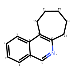 [c]1nc2c(c3ccccc13)CCCCC2